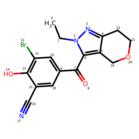 CCn1nc2c(c1C(=O)c1cc(Br)c(O)c(C#N)c1)COCC2